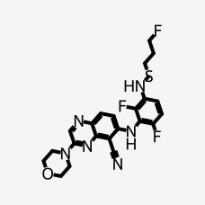 N#Cc1c(Nc2c(F)ccc(NSCCCF)c2F)ccc2ncc(N3CCOCC3)nc12